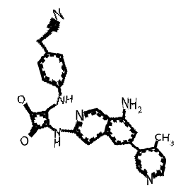 Cc1ccncc1-c1cc(N)c2cnc(Nc3c(Nc4ccc(CC#N)cc4)c(=O)c3=O)cc2c1